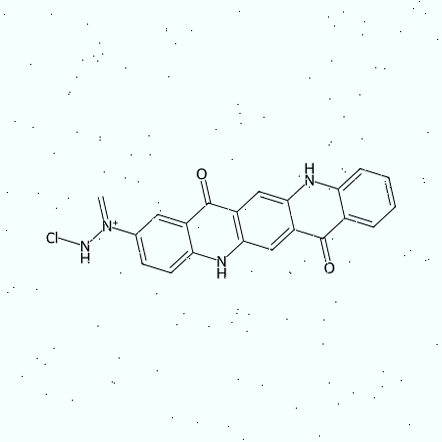 C=[N+](NCl)c1ccc2[nH]c3cc4c(=O)c5ccccc5[nH]c4cc3c(=O)c2c1